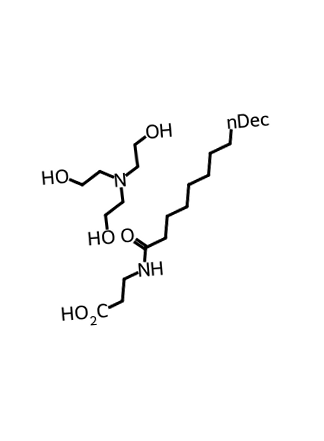 CCCCCCCCCCCCCCCCCC(=O)NCCC(=O)O.OCCN(CCO)CCO